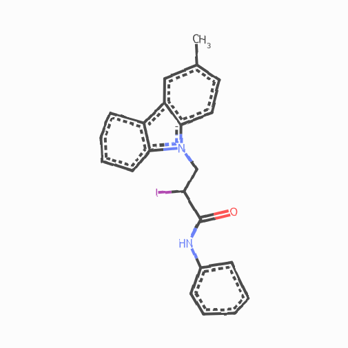 Cc1ccc2c(c1)c1ccccc1n2CC(I)C(=O)Nc1ccccc1